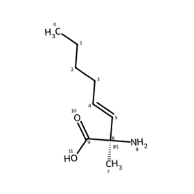 CCCCC=C[C@@](C)(N)C(=O)O